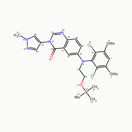 COc1cc(OC)c(Cl)c(N(CCO[Si](C)(C)C(C)(C)C)c2ccc3ncn(-c4cnn(C)c4)c(=O)c3c2)c1Cl